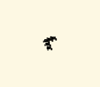 C.N.N.N.N